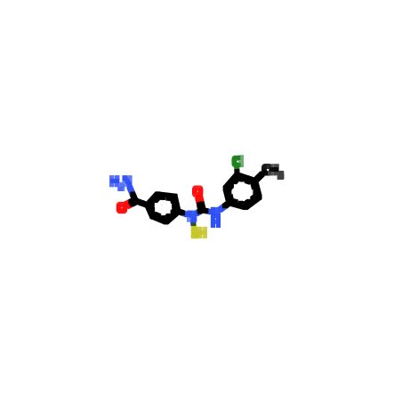 Cc1ccc(NC(=O)N(S)c2ccc(C(N)=O)cc2)cc1Cl